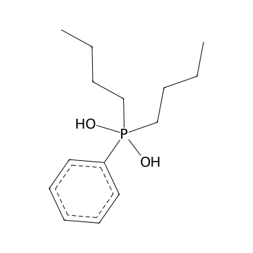 CCCCP(O)(O)(CCCC)c1ccccc1